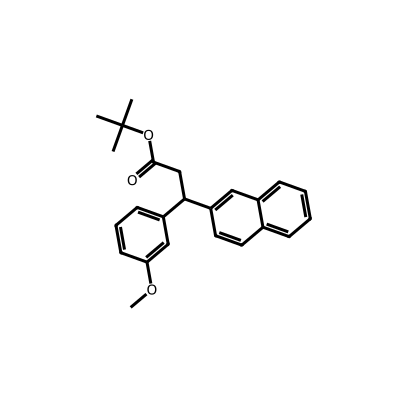 COc1cccc(C(CC(=O)OC(C)(C)C)c2ccc3ccccc3c2)c1